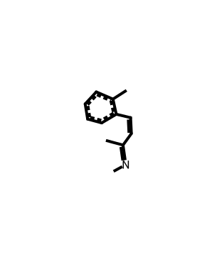 C/N=C(C)/C=C\c1ccccc1C